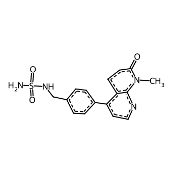 Cn1c(=O)ccc2c(-c3ccc(CNS(N)(=O)=O)cc3)ccnc21